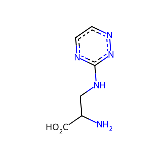 NC(CNc1nccnn1)C(=O)O